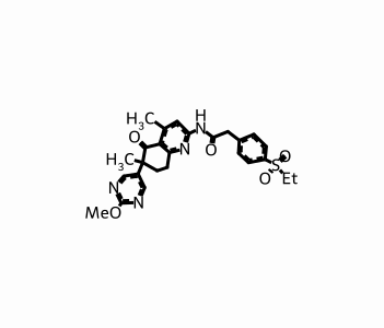 CCS(=O)(=O)c1ccc(CC(=O)Nc2cc(C)c3c(n2)CCC(C)(c2cnc(OC)nc2)C3=O)cc1